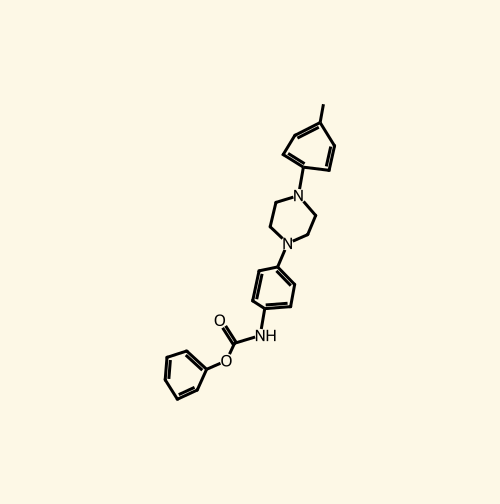 Cc1ccc(N2CCN(c3ccc(NC(=O)Oc4ccccc4)cc3)CC2)cc1